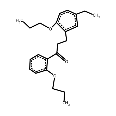 CCCOc1ccc(CC)cc1CCC(=O)c1ccccc1OCCC